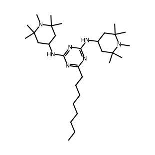 CCCCCCCCc1nc(NC2CC(C)(C)N(C)C(C)(C)C2)nc(NC2CC(C)(C)N(C)C(C)(C)C2)n1